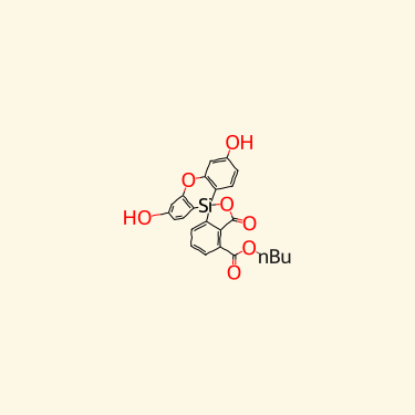 CCCCOC(=O)c1cccc2c1C(=O)O[Si]21c2ccc(O)cc2Oc2cc(O)ccc21